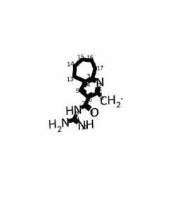 [CH2]c1nc2c(cc1C(=O)NC(=N)N)CCCCC2